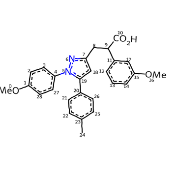 COc1ccc(-n2nc(CC(C(=O)O)c3cccc(OC)c3)cc2-c2ccc(C)cc2)cc1